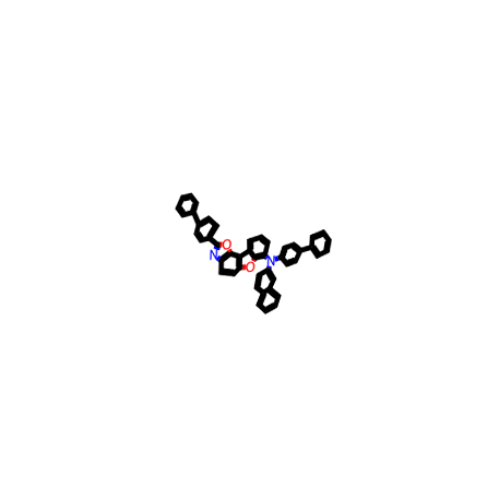 c1ccc(-c2ccc(-c3nc4ccc5oc6c(N(c7ccc(-c8ccccc8)cc7)c7ccc8ccccc8c7)cccc6c5c4o3)cc2)cc1